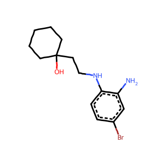 Nc1cc(Br)ccc1NCCC1(O)CCCCC1